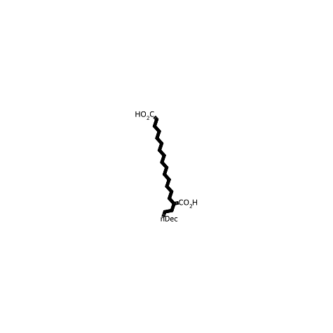 CCCCCCCCCCCCC(CCCCCCCCCCCCCCC(=O)O)C(=O)O